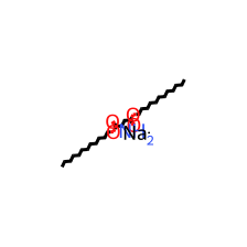 CCCCCCCCCCCCOC(=O)C[C@H](N)C(=O)OCCCCCCCCCCCC.[Na]